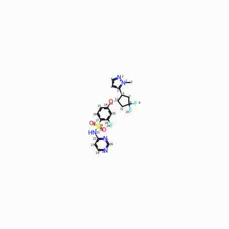 Cn1nccc1[C@H]1CC(F)(F)C[C@@H]1Oc1ccc(S(=O)(=O)Nc2ccncn2)c(F)c1